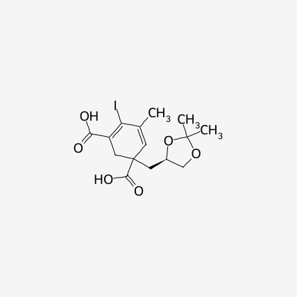 CC1=CC(C[C@@H]2COC(C)(C)O2)(C(=O)O)CC(C(=O)O)=C1I